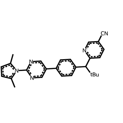 Cc1ccc(C)n1-c1ncc(-c2ccc(C(c3ccc(C#N)cn3)C(C)(C)C)cc2)cn1